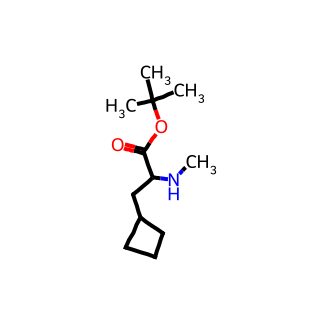 CNC(CC1CCC1)C(=O)OC(C)(C)C